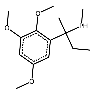 CCC(C)(PC)c1cc(OC)cc(OC)c1OC